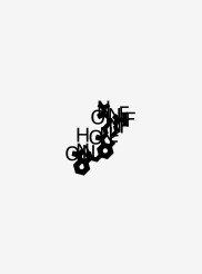 CN(C)C(=O)c1nc(C(F)(F)F)n2c1CN(C(=O)c1cc(Cc3n[nH]c(=O)c4ccccc34)ccc1F)CC2